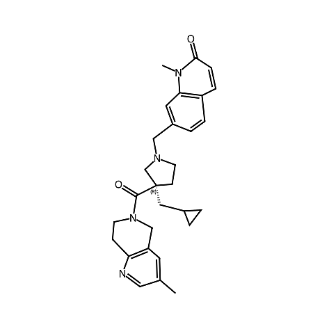 Cc1cnc2c(c1)CN(C(=O)[C@]1(CC3CC3)CCN(Cc3ccc4ccc(=O)n(C)c4c3)C1)CC2